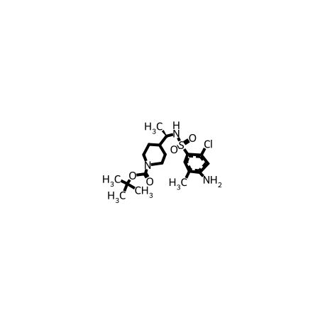 Cc1cc(S(=O)(=O)N[C@H](C)C2CCN(C(=O)OC(C)(C)C)CC2)c(Cl)cc1N